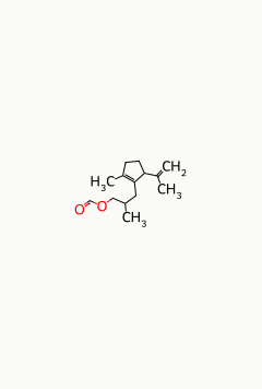 C=C(C)C1CCC(C)=C1CC(C)COC=O